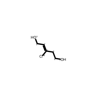 OCC=C(Cl)CCO